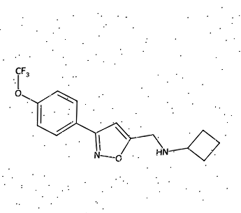 FC(F)(F)Oc1ccc(-c2cc(CNC3CCC3)on2)cc1